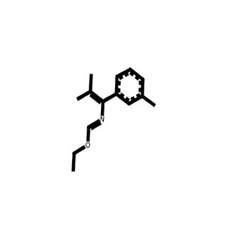 CCOC=NC(=C(C)C)c1cccc(C)c1